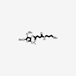 CO[C@@H]1O[C@H](C)[C@@H](OC(=O)CCC(=O)NCCCC(C)(C)C)[C@H]1OC(C)(C)C